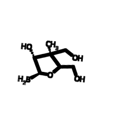 B[C@@H]1OC(CO)[C@](C)(CO)[C@H]1O